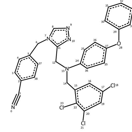 N#Cc1ccc(Cn2cnnc2CN(Cc2cc(Cl)cc(Cl)c2Cl)c2ccc(Oc3ccccc3)cc2)cc1